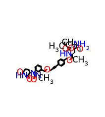 C[C@@H](OCc1ccc(C#CCOCc2cccc3c2n(C)c(=O)n3C2CCC(=O)NC2=O)cc1)[C@H](CCC(N)=O)NC(=O)OC(C)(C)C